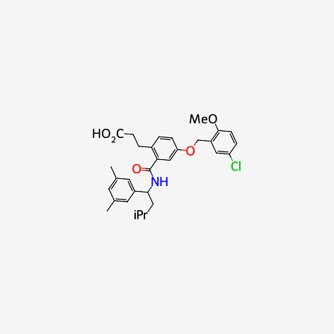 COc1ccc(Cl)cc1COc1ccc(CCC(=O)O)c(C(=O)NC(CC(C)C)c2cc(C)cc(C)c2)c1